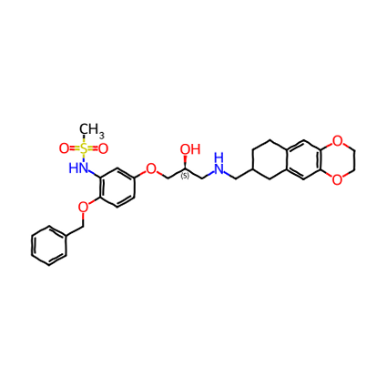 CS(=O)(=O)Nc1cc(OC[C@@H](O)CNCC2CCc3cc4c(cc3C2)OCCO4)ccc1OCc1ccccc1